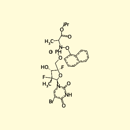 CC(C)OC(=O)C(C)N(Oc1cccc2ccccc12)[PH](=O)OC[C@@]1(F)O[C@@H](n2cc(Br)c(=O)[nH]c2=O)[C@](C)(F)[C@@H]1O